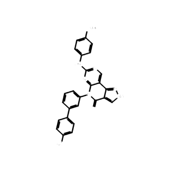 COc1ccc(Nc2ncc3c4n[nH]cc4c(=O)n(-c4cccc(-c5ccc(C#N)cc5)c4)c3n2)cc1